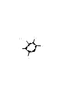 Cc1c(Br)c(Br)[c]c(Br)c1Br